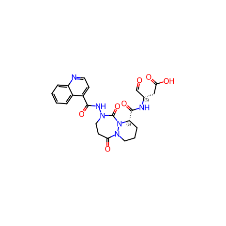 O=C[C@H](CC(=O)O)NC(=O)[C@@H]1CCCN2C(=O)CCN(NC(=O)c3ccnc4ccccc34)C(=O)N12